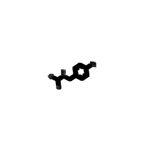 CCc1ccc(CNC([O])=O)cc1